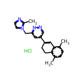 Cc1ccc(C)c2c1C=C(c1cnnc(Cn3ccnc3C)c1)CC2.Cl